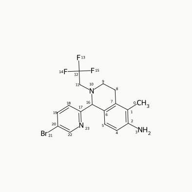 Cc1c(N)ccc2c1CCN(CC(F)(F)F)C2c1ccc(Br)cn1